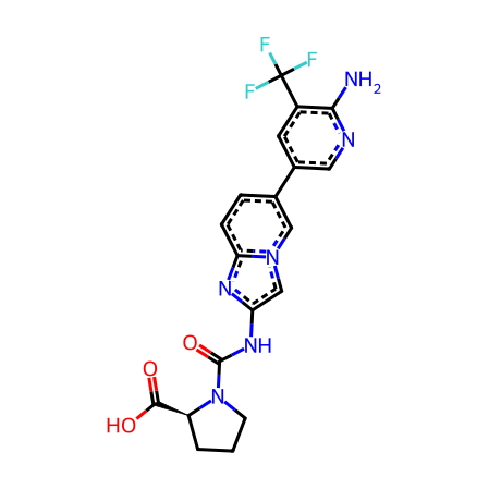 Nc1ncc(-c2ccc3nc(NC(=O)N4CCC[C@H]4C(=O)O)cn3c2)cc1C(F)(F)F